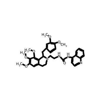 COc1ccc(CC2c3c(cc(OC)c(OC)c3OC)CCN2CCNC(=O)Nc2ccnc3ccccc23)cc1OC